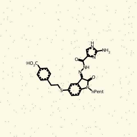 CCCCCN1C(=O)C(=NNC(=O)c2c[nH]c(N)n2)c2cc(SCCc3ccc(C(=O)O)cc3)ccc21